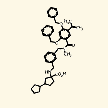 C=C(C)c1cc(C(=O)N(C)Cc2cccc(CNC3(C(=O)O)CCC(C4CCCC4)C3)c2)c(OCc2ccccc2)cc1OCc1ccccc1